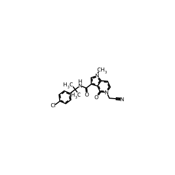 Cn1cc(C(=O)NC(C)(C)c2ccc(Cl)cc2)c2c(=O)n(CC#N)ccc21